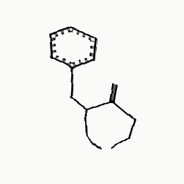 O=C1CCOCC1Cc1ccccc1